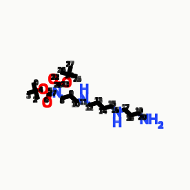 CC(C)(C)OC(=O)N(CCCNCCCCNCCCN)C(=O)OC(C)(C)C